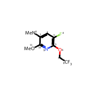 CNc1cc(F)c(OCC(F)(F)F)nc1OC